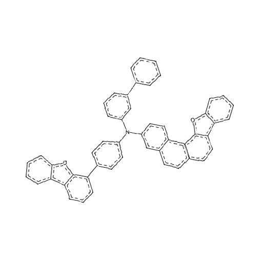 c1ccc(-c2cccc(N(c3ccc(-c4cccc5c4oc4ccccc45)cc3)c3ccc4c(ccc5ccc6c7ccccc7oc6c54)c3)c2)cc1